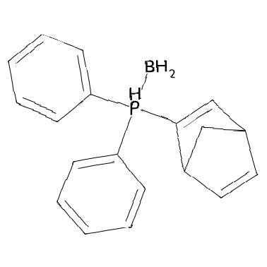 B[PH](C1=CC2C=CC1C2)(c1ccccc1)c1ccccc1